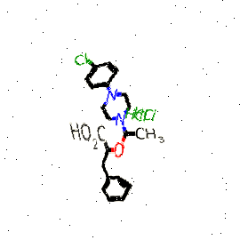 CC(OC(Cc1ccccc1)C(=O)O)N1CCN(c2ccc(Cl)cc2)CC1.Cl.Cl